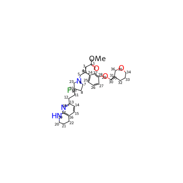 COC(=O)C[C@H](CN1CC[C@@](F)(CCc2ccc3c(n2)NCCC3)C1)c1cccc(OC[C@@H]2CCCOC2)c1